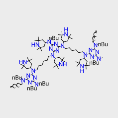 C=C=C=CN(CCCC)c1nc(N(C)CCCC)nc(N(CCCCCCN(c2nc(N(CCCC)C3CC(C)(C)NC(C)(C)C3)nc(N(CCCCCCN(c3nc(N(C=C=C=C)CCCC)nc(N(CCCC)CCCC)n3)C3CC(C)(C)NC(C)(C)C3)C3CC(C)(C)NC(C)(C)C3)n2)C2CC(C)(C)NC(C)(C)C2)C2CC(C)(C)NC(C)(C)C2)n1